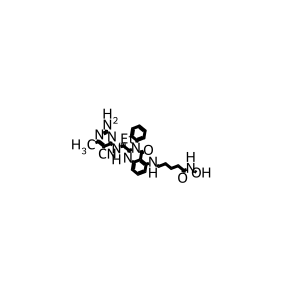 CC[C@H](Nc1nc(N)nc(C)c1C#N)c1nc2cccc(NCCCCC(=O)NO)c2c(=O)n1-c1ccccc1